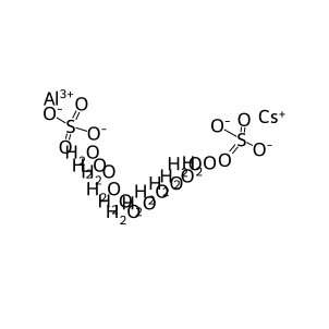 O.O.O.O.O.O.O.O.O.O.O.O.O=S(=O)([O-])[O-].O=S(=O)([O-])[O-].[Al+3].[Cs+]